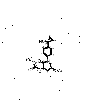 CC(=O)OC1CC(NC(=O)OC(C)(C)C)C(=O)N(c2ccc(C3(C#N)CC3)cc2)C1